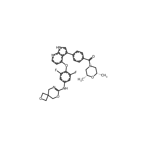 C[C@@H]1CN(C(=O)c2ccc(-c3c[nH]c4nccc(Oc5c(F)cc(NC6=NCC7(COC7)CO6)cc5F)c34)cc2)C[C@H](C)O1